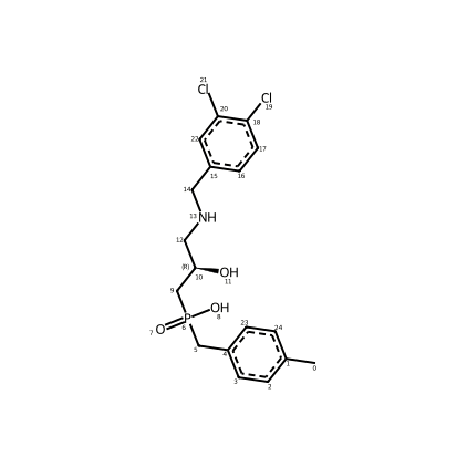 Cc1ccc(CP(=O)(O)C[C@H](O)CNCc2ccc(Cl)c(Cl)c2)cc1